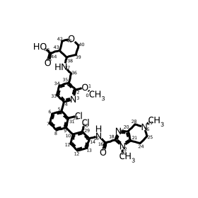 COc1nc(-c2cccc(-c3cccc(NC(=O)c4nc5c(n4C)CCN(C)C5)c3Cl)c2Cl)ccc1CNC1CCOCC1C(=O)O